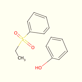 CCS(=O)(=O)c1ccccc1.Oc1ccccc1